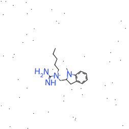 CCCCCN(CC1Cc2ccccc2N1C)C(=N)N